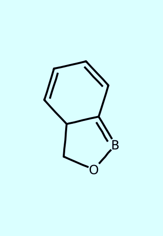 B1=C2C=CC=CC2CO1